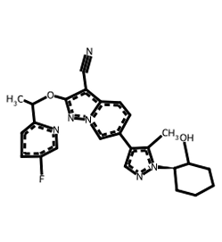 Cc1c(-c2ccc3c(C#N)c(OC(C)c4ccc(F)cn4)nn3c2)cnn1[C@@H]1CCCCC1O